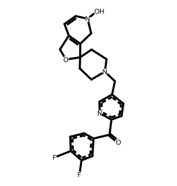 O=C(c1ccc(F)c(F)c1)c1ccc(CN2CCC3(CC2)OCC2=C3CN(O)C=C2)cn1